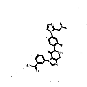 CN(C)Cc1nccn1-c1ccc(C2NCc3ncn(-c4cccc(C(N)=O)c4)c3C2=O)c(F)c1